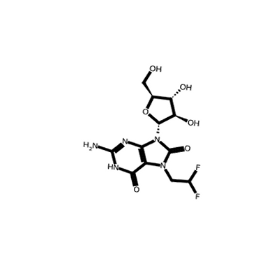 Nc1nc2c(c(=O)[nH]1)n(CC(F)F)c(=O)n2[C@@H]1O[C@@H](CO)[C@H](O)[C@H]1O